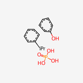 CC(C)c1ccccc1.O=P(O)(O)O.Oc1ccccc1